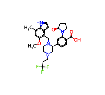 COc1cc(C)c2[nH]ccc2c1CN1CCN(CCC(F)(F)F)C[C@@H]1c1ccc(C(=O)O)c(N2CCCC2=O)c1